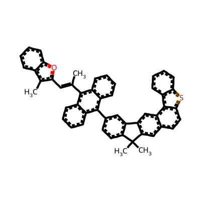 C/C(=C\c1oc2ccccc2c1C)c1c2ccccc2c(-c2ccc3c(c2)-c2cc4c(ccc5sc6ccccc6c54)cc2C3(C)C)c2ccccc12